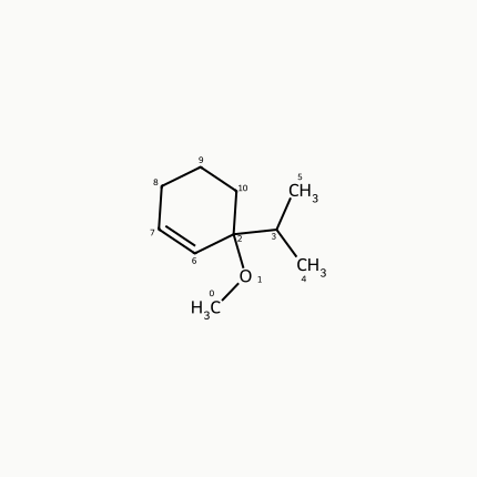 COC1(C(C)C)C=CCCC1